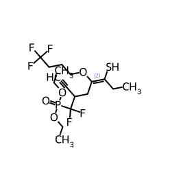 C#CC(C/C(OCCCC(F)(F)F)=C(/S)CC)C(F)(F)P(=O)(OCC)OCC